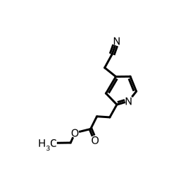 CCOC(=O)CCc1cc(CC#N)ccn1